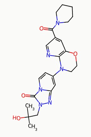 CC(C)(O)Cn1nc2cc(N3CCOc4cc(C(=O)N5CCCCC5)cnc43)ccn2c1=O